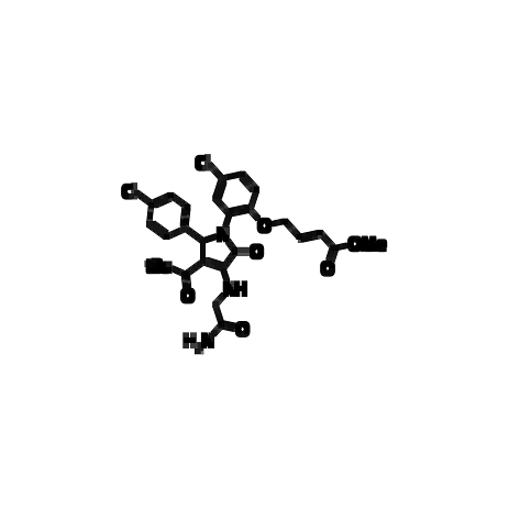 COC(=O)/C=C/COc1ccc(Cl)cc1N1C(=O)C(NCC(N)=O)=C(C(=O)C(C)(C)C)C1c1ccc(Cl)cc1